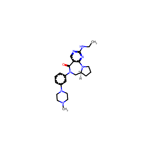 CCNc1ncc2c(n1)N1CCC[C@H]1CN(c1cccc(N3CCN(C)CC3)c1)C2=O